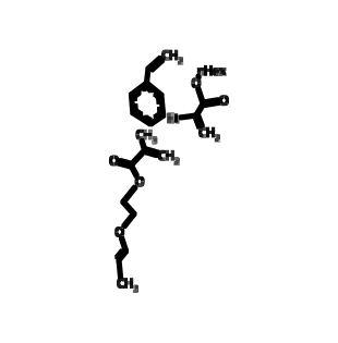 C=C(C)C(=O)OCCOC=CC.C=C(CC)C(=O)OCCCCCC.C=Cc1ccccc1